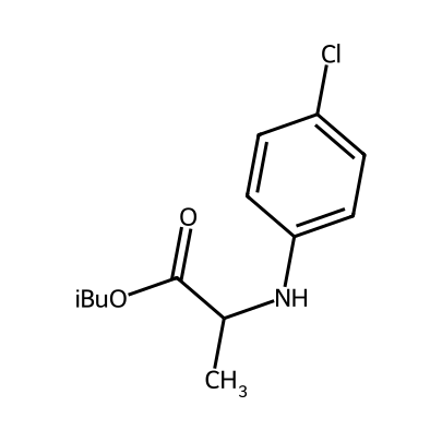 CC(C)COC(=O)C(C)Nc1ccc(Cl)cc1